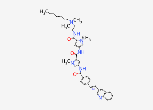 CCCCCCC[N+](C)(C)CCNC(=O)c1cc(NC(=O)c2cc(NC(=O)c3ccc(/C=C/c4cnc5ccccc5c4)cc3)cn2C)cn1C